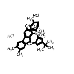 Cl.Cl.[CH2]=[Zr]([CH3])([C]1=CC(C(C)(C)C)=CC1C)([c]1ccc(C)cc1)[c]1c(C)c(C)cc2c1Cc1cc(C)c(C)cc1-2